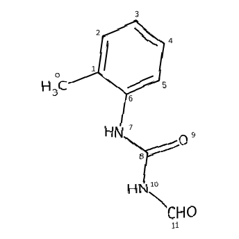 Cc1ccccc1NC(=O)NC=O